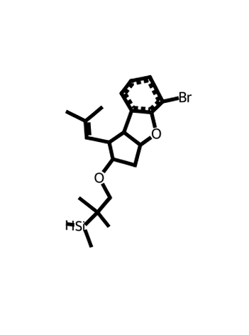 CC(C)=CC1C(OCC(C)(C)[SiH](C)C)CC2Oc3c(Br)cccc3C21